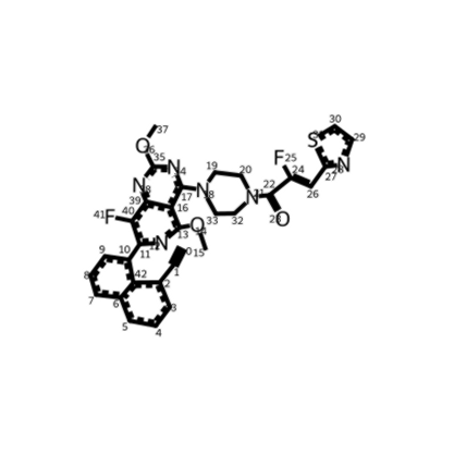 C#Cc1cccc2cccc(-c3nc(OC)c4c(N5CCN(C(=O)/C(F)=C/c6nccs6)CC5)nc(OC)nc4c3F)c12